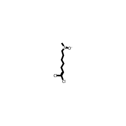 C[S+]([O-])CCCCCC=C(Cl)Cl